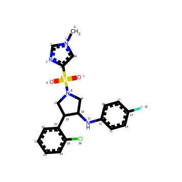 Cn1cnc(S(=O)(=O)N2CC(Nc3ccc(F)cc3)C(c3ccccc3Cl)C2)c1